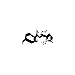 Cn1nccc1C(O)CC(N)c1ccc(F)cc1F